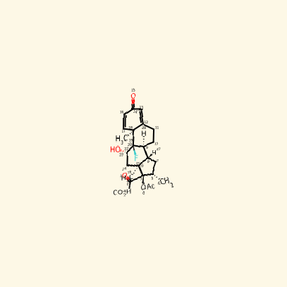 CC(=O)O[C@]1(C(=O)C(=O)O)[C@@H](C)C[C@H]2[C@@H]3CCC4=CC(=O)C=C[C@]4(C)[C@@]3(F)[C@@H](O)C[C@@]21C